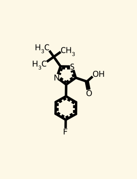 CC(C)(C)c1nc(-c2ccc(F)cc2)c(C(=O)O)s1